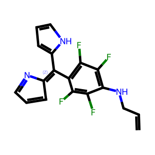 C=CCNc1c(F)c(F)c(/C(=C2\C=CC=N2)c2ccc[nH]2)c(F)c1F